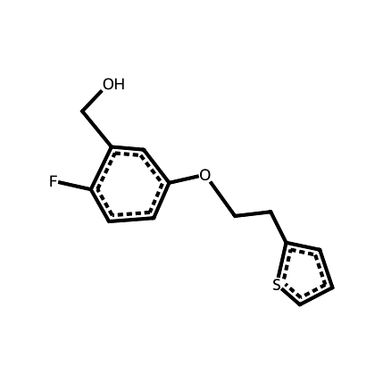 OCc1cc(OCCc2cccs2)ccc1F